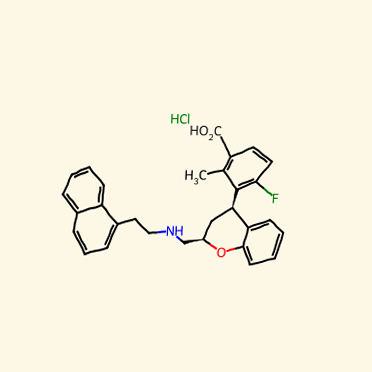 Cc1c(C(=O)O)ccc(F)c1[C@@H]1C[C@H](CNCCc2cccc3ccccc23)Oc2ccccc21.Cl